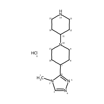 Cl.Cn1cnnc1C1CCN(C2CCNCC2)CC1